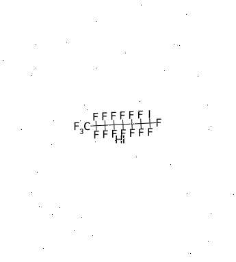 FC(F)(F)C(F)(F)C(F)(F)C(F)(F)C(F)(F)C(F)(F)C(F)(F)C(F)(F)I.I